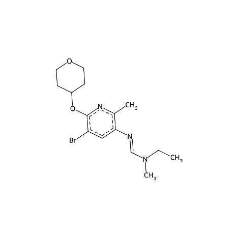 CCN(C)/C=N/c1cc(Br)c(OC2CCOCC2)nc1C